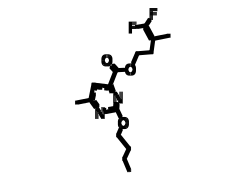 CCCCOc1nc(C)cc(C(=O)OCCC(C)=C(F)F)n1